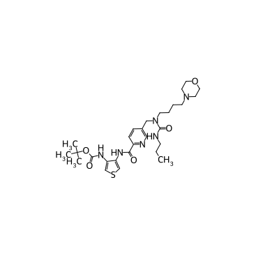 CCCNC(=O)N(CCCCN1CCOCC1)Cc1ccc(C(=O)Nc2cscc2NC(=O)OC(C)(C)C)nc1